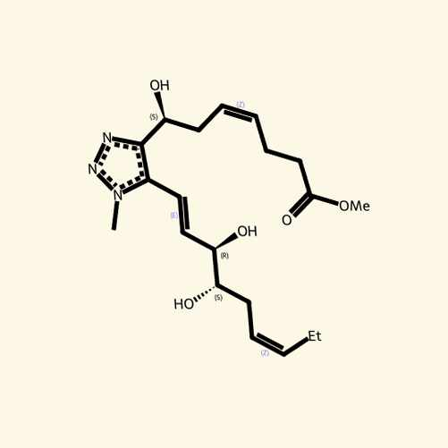 CC/C=C\C[C@H](O)[C@H](O)/C=C/c1c([C@@H](O)C/C=C\CCC(=O)OC)nnn1C